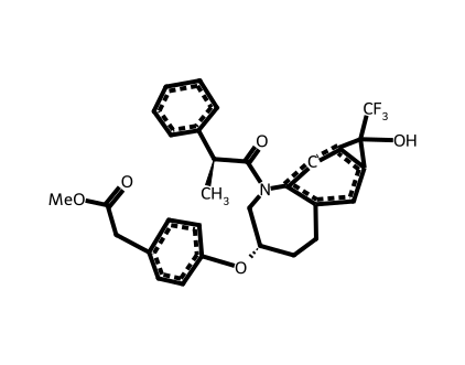 COC(=O)Cc1ccc(O[C@H]2CCc3cc4c(cc3N(C(=O)[C@@H](C)c3ccccc3)C2)C4(O)C(F)(F)F)cc1